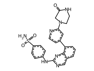 NS(=O)(=O)c1ccc(Nc2ncc3cccc(-c4ccnc(N5CCNC(=O)C5)c4)c3n2)cc1